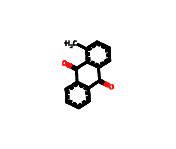 [CH2]c1cccc2c1C(=O)c1ccccc1C2=O